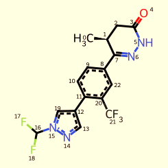 C[C@H]1CC(=O)NN=C1c1ccc(-c2cnn(C(F)F)c2)c(C(F)(F)F)c1